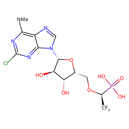 CNc1nc(Cl)nc2c1ncn2[C@@H]1O[C@H](CO[C@H](C(F)(F)F)P(=O)(O)O)[C@H](O)[C@H]1O